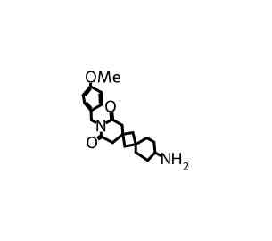 COc1ccc(CN2C(=O)CC3(CC2=O)CC2(CCC(N)CC2)C3)cc1